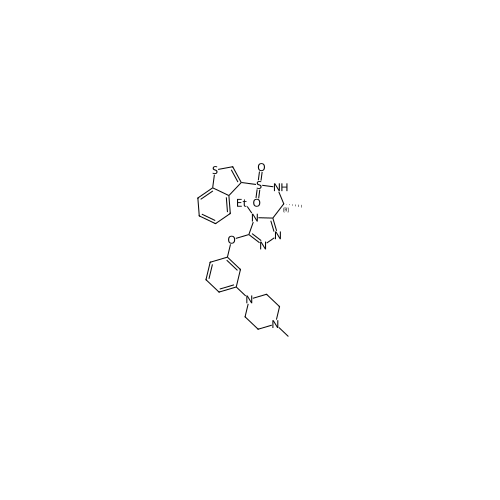 CCn1c(Oc2cccc(N3CCN(C)CC3)c2)nnc1[C@@H](C)NS(=O)(=O)c1csc2ccccc12